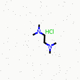 CN(C)CCN(C)C.Cl